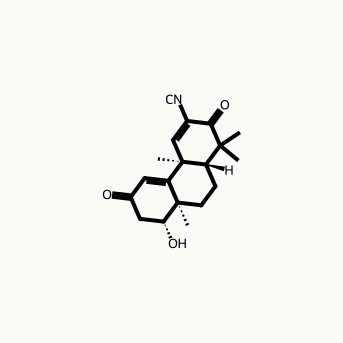 [C-]#[N+]C1=C[C@]2(C)C3=CC(=O)C[C@@H](O)[C@]3(C)CC[C@H]2C(C)(C)C1=O